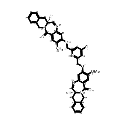 COc1cc2c(cc1OCc1cc(Cl)cc(COc3cc4c(cc3C)C(=O)N3Cc5ccccc5C[C@H]3C=N4)n1)N=C[C@@H]1Cc3ccccc3CN1C2=O